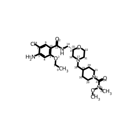 CCOc1cc(N)c(Cl)cc1C(=O)NC[C@H]1CN(CC2CCN(C(=O)N(C)OC)CC2)CCO1